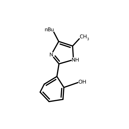 CCCCc1nc(-c2ccccc2O)[nH]c1C